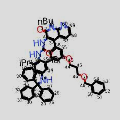 CCCCn1c(=O)c(NC(=O)Nc2c(C(C)C)cc(NC(c3ccccc3)(c3ccccc3)c3ccccc3)cc2C(C)C)c(-c2cccc(OCCCOCc3ccccc3)c2)c2cccnc21